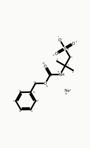 CC(C)(CS(=O)(=O)[O-])NC(=O)OCc1ccccc1.[Na+]